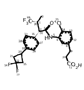 C[C@H]([C@H](C(=O)Nc1cc(CCC(=O)O)ccc1Cl)c1ccc(C2CC(F)(F)C2)cc1)C(F)(F)F